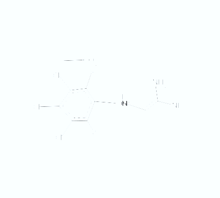 CC(=O)O.NC=C(N)N.Oc1c(Cl)c(Cl)c(Cl)c(Cl)c1Cl